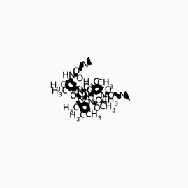 CC(C)OC(=O)NC1CC(C)(C)CC(C)(Cn2c(=O)n(CC3(C)CC(NC(=O)OCCN4CC4)CC(C)(C)C3)c(=O)n(CC3(C)CC(NC(=O)OCCN4CC4)CC(C)(C)C3)c2=O)C1